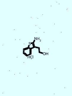 Cl.Nc1sc2ccccc2c1CCO